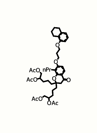 CCCc1c(OCCCOc2cccc3c2CCCC3)ccc2c1OC(CCCC(COC(C)=O)OC(C)=O)(CCCC(COC(C)=O)OC(C)=O)CC2=O